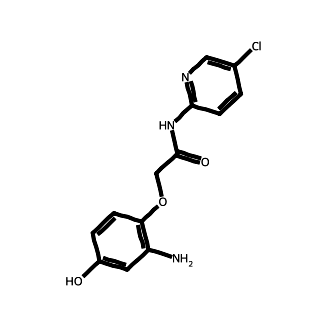 Nc1cc(O)ccc1OCC(=O)Nc1ccc(Cl)cn1